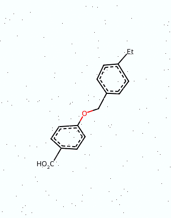 CCc1ccc(COc2ccc(C(=O)O)cc2)cc1